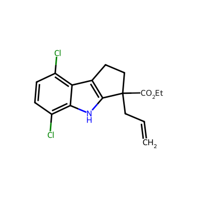 C=CCC1(C(=O)OCC)CCc2c1[nH]c1c(Cl)ccc(Cl)c21